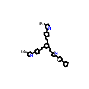 CC(C)(C)c1ccnc(-c2ccc(/C=C/c3cc(/C=C/c4ccc(-c5cc(C(C)(C)C)ccn5)cc4)cc(/C=C/c4ccc(-c5ccc(-c6ccccc6)cc5)nc4)c3)cc2)c1